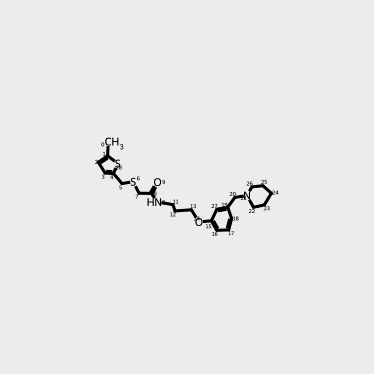 Cc1ccc(CSCC(=O)NCCCOc2cccc(CN3CCCCC3)c2)s1